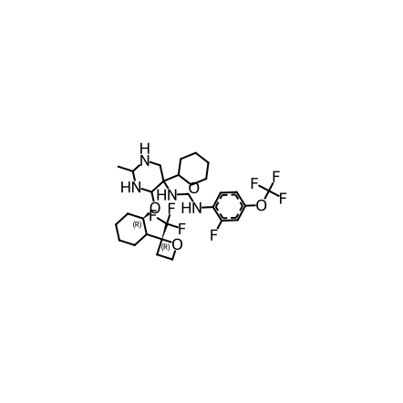 CC1NCC(NC(=O)Nc2ccc(OC(F)(F)F)cc2F)(C2CCCCC2)C(O[C@@H]2CCCCC2[C@@]2(C(F)(F)F)CCO2)N1